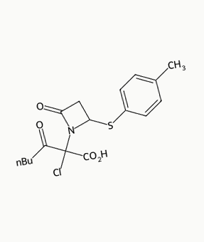 CCCCC(=O)C(Cl)(C(=O)O)N1C(=O)CC1Sc1ccc(C)cc1